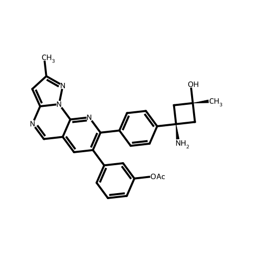 CC(=O)Oc1cccc(-c2cc3cnc4cc(C)nn4c3nc2-c2ccc([C@]3(N)C[C@](C)(O)C3)cc2)c1